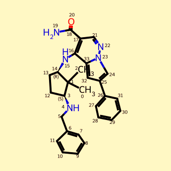 CC1(C)[C@@H](NCc2ccccc2)CC[C@H]1Nc1c(C(N)=O)cnn2cc(-c3ccccc3)cc12